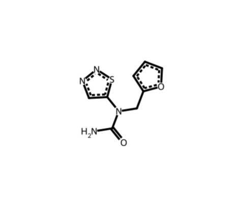 NC(=O)N(Cc1ccco1)c1cnns1